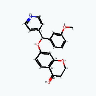 COc1cccc([C@@H](Oc2ccc3c(c2)OCCC3=O)c2ccncc2)c1